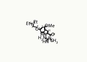 CCN(CC)CCOc1cc(OC)c2cc(C(=O)N(C)C(=N)N)[nH]c2c1